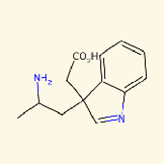 CC(N)CC1(CC(=O)O)C=Nc2ccccc21